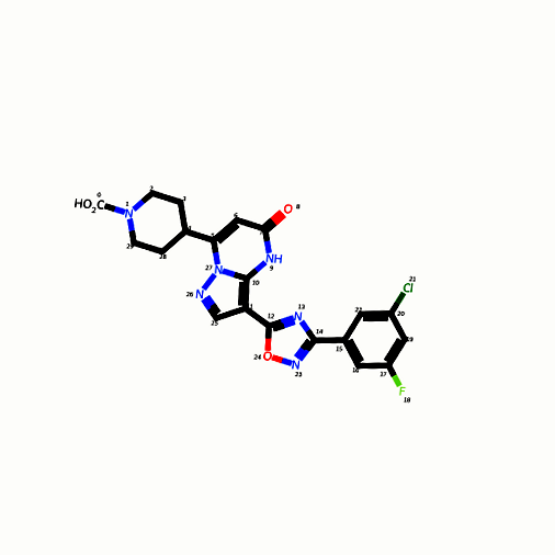 O=C(O)N1CCC(c2cc(=O)[nH]c3c(-c4nc(-c5cc(F)cc(Cl)c5)no4)cnn23)CC1